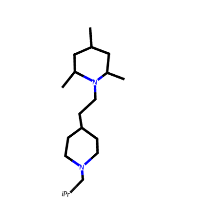 CC(C)CN1CCC(CCN2C(C)CC(C)CC2C)CC1